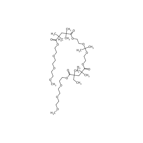 CCC(C)(CC(C)(C)C(=O)OCCOC(C)(C)OCCOC(=O)C(C)(C)CC(C)(C)C(=O)OCCOCCOCCOC)C(=O)OCCOCCOCCOC